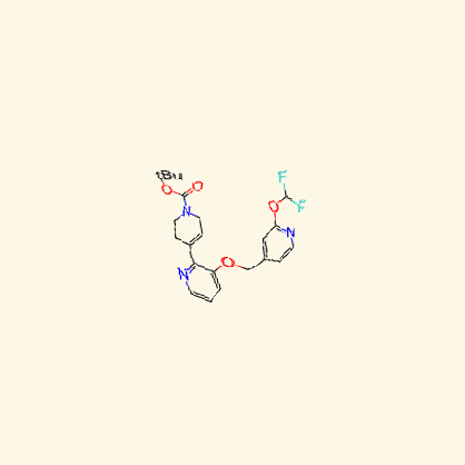 CC(C)(C)OC(=O)N1CC=C(c2ncccc2OCc2ccnc(OC(F)F)c2)CC1